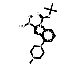 CN1CCN(c2cccc3c2cc(B(O)O)n3C(=O)OC(C)(C)C)CC1